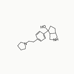 OC1(c2ccc(CCN3CCCC3)cc2)CCC2CNCC21